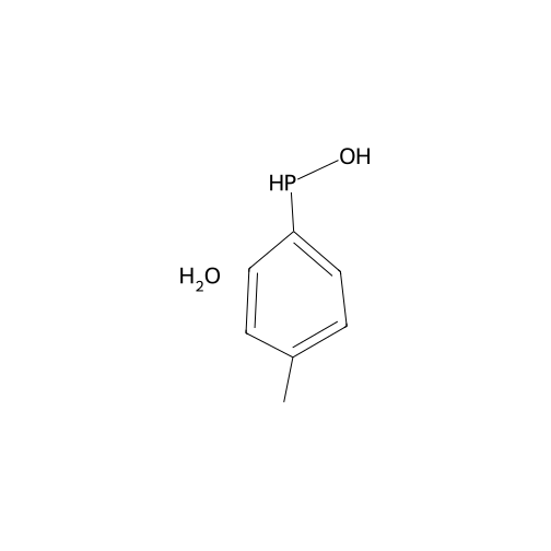 Cc1ccc(PO)cc1.O